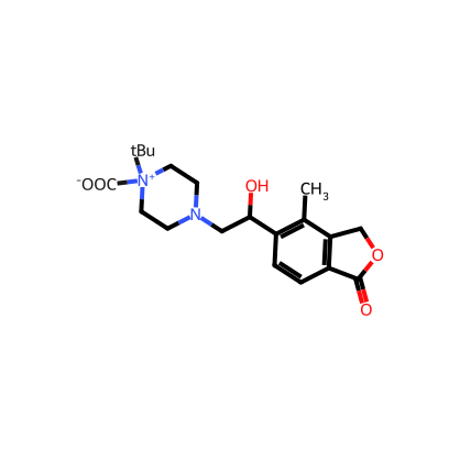 Cc1c(C(O)CN2CC[N+](C(=O)[O-])(C(C)(C)C)CC2)ccc2c1COC2=O